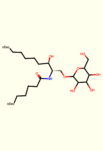 CCCCCCCCCCCCCCC[C@@H](O)[C@H](COC1OC(CO)C(O)C(O)C1O)NC(=O)CCCCCCCCCCCCCC